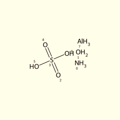 N.O.O=S(=O)(O)O.[AlH3]